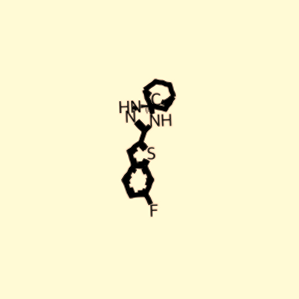 Fc1ccc2cc(C3=NN[C@@]4(CC5CCC4CC5)N3)sc2c1